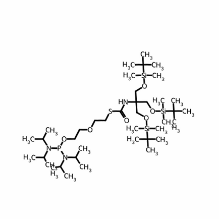 CC(C)N(C(C)C)P(OCCOCCSC(=O)NC(CO[Si](C)(C)C(C)(C)C)(CO[Si](C)(C)C(C)(C)C)CO[Si](C)(C)C(C)(C)C)N(C(C)C)C(C)C